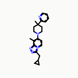 Cc1c(N2CCC(C)(c3ccccn3)CC2)ccn2c(CC3CC3)nnc12